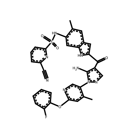 Cc1cc2cc(C(=O)c3cnn(-c4cnc(Oc5ccccc5F)cc4C)c3N)[nH]c2cc1NS(=O)(=O)c1cccc(C#N)n1